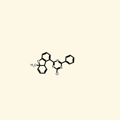 CC12C=CC=CC1c1c(cccc1-c1nc(Cl)nc(-c3ccccc3)n1)O2